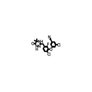 CC1(C)NC(Cc2ccc(Cl)c(Oc3cc(Cl)cc(C#N)c3)c2F)=NNC1=O